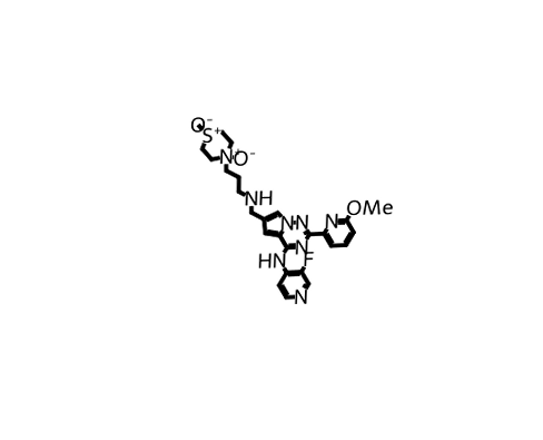 COc1cccc(-c2nc(Nc3ccncc3F)c3cc(CNCCC[N+]4([O-])CC[S+]([O-])CC4)cn3n2)n1